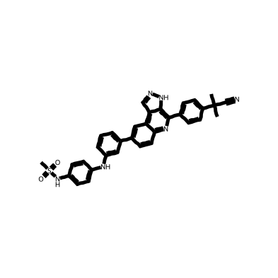 CC(C)(C#N)c1ccc(-c2nc3ccc(-c4cccc(Nc5ccc(NS(C)(=O)=O)cc5)c4)cc3c3cn[nH]c23)cc1